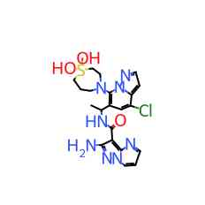 CC(NC(=O)c1c(N)nn2cccnc12)c1cc(Cl)c2ccnn2c1N1CCCS(O)(O)CC1